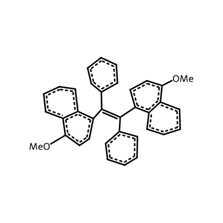 COc1ccc(/C(=C(\c2ccccc2)c2ccc(OC)c3ccccc23)c2ccccc2)c2ccccc12